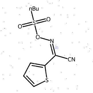 CCCCS(=O)(=O)O/N=C(/C#N)c1cccs1